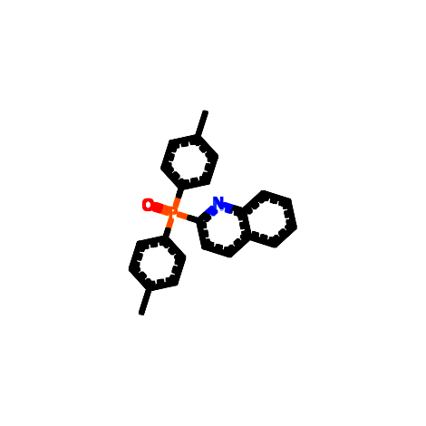 Cc1ccc(P(=O)(c2ccc(C)cc2)c2ccc3ccccc3n2)cc1